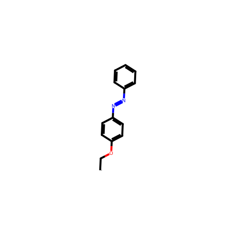 [CH2]COc1ccc(N=Nc2ccccc2)cc1